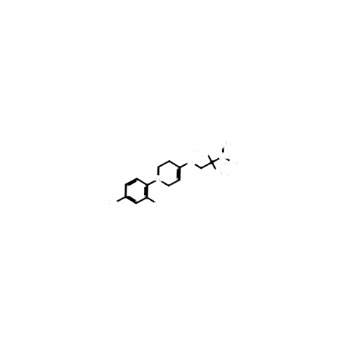 C[SiH](C)C(C)(C)COC1=CCN(c2ccc(Br)cc2F)CC1